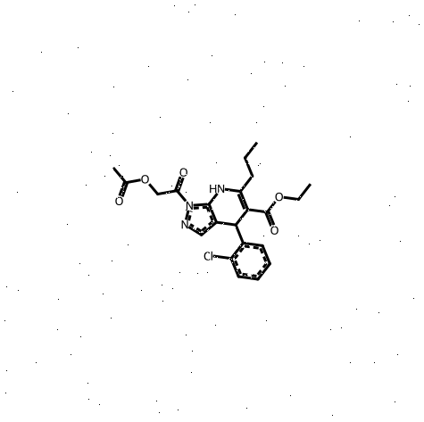 CCCC1=C(C(=O)OCC)C(c2ccccc2Cl)c2cnn(C(=O)COC(C)=O)c2N1